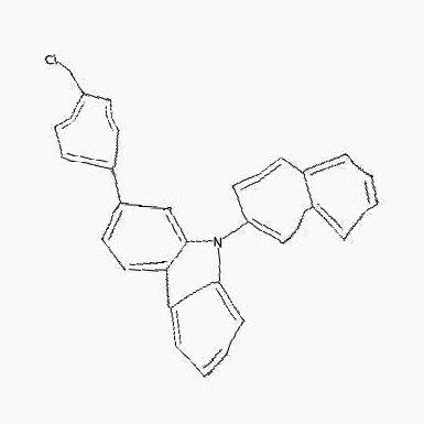 Clc1ccc(-c2ccc3c4ccccc4n(-c4ccc5ccccc5c4)c3c2)cc1